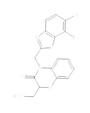 O=C(O)CC1Oc2ccccc2N(Cc2nc3ccc(Cl)c(F)c3s2)C1=O